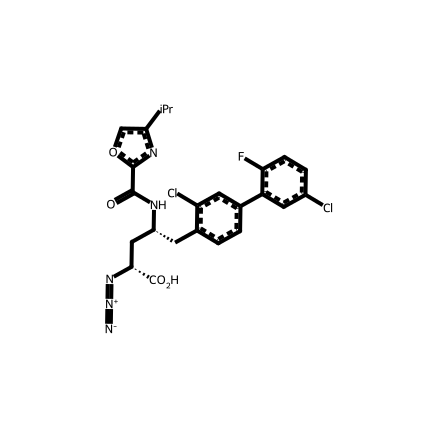 CC(C)c1coc(C(=O)N[C@H](Cc2ccc(-c3cc(Cl)ccc3F)cc2Cl)C[C@@H](N=[N+]=[N-])C(=O)O)n1